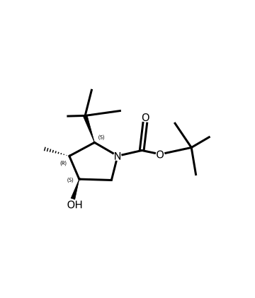 C[C@H]1[C@H](O)CN(C(=O)OC(C)(C)C)[C@@H]1C(C)(C)C